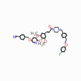 COc1cc(C=CC(=O)N2CCN(Cc3ccc(CCOc4ccc(F)cc4)cc3)CC2)cc(OC)c1Oc1ccc(OCc2ccc(C#N)cc2)cn1